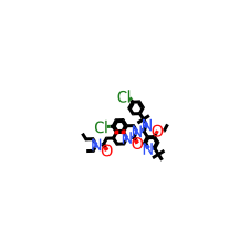 CCCN(CC)C(=O)CC1CCN(C(=O)N(Cc2ccc(Cl)cc2)/C(=N\C(C)(C)C2C=CC(Cl)=CC2)c2cnc(C(C)(C)C)cc2OCC)CC1